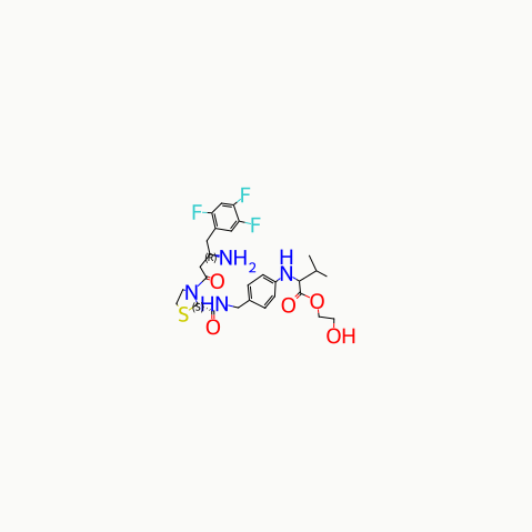 CC(C)C(Nc1ccc(CNC(=O)[C@@H]2SCCN2C(=O)C[C@H](N)Cc2cc(F)c(F)cc2F)cc1)C(=O)OCCO